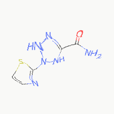 NC(=O)C1=NNN(c2nccs2)N1